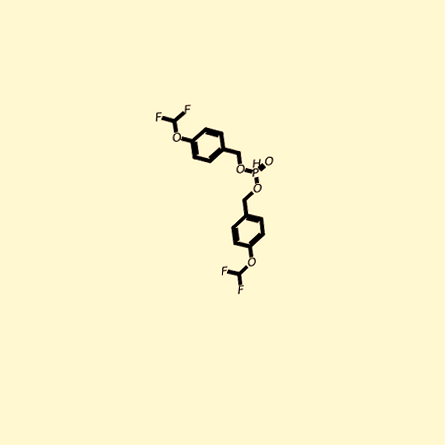 O=[PH](OCc1ccc(OC(F)F)cc1)OCc1ccc(OC(F)F)cc1